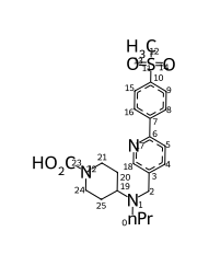 CCCN(Cc1ccc(-c2ccc(S(C)(=O)=O)cc2)nc1)C1CCN(C(=O)O)CC1